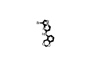 Brc1cnn2ccc(Nc3cccc4c3COCO4)nc12